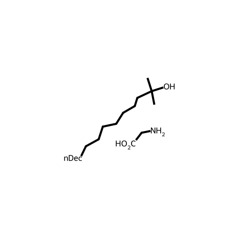 CCCCCCCCCCCCCCCCCC(C)(C)O.NCC(=O)O